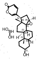 C[C@]12CC[C@H](O)C[C@H]1CC[C@@H]1[C@@H]2CC[C@]2(C)[C@@H](c3ccc(=O)oc3)C[C@H]3O[C@]132.OBO